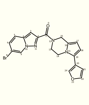 O=C(c1cc2ccc(Br)cn2n1)N1CCn2c(ccc2-c2ccoc2)C1